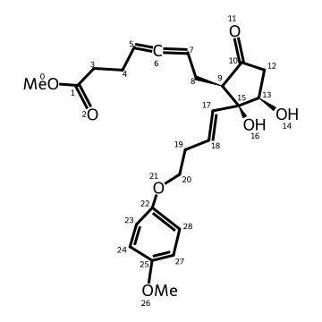 COC(=O)CCC=C=CC[C@H]1C(=O)C[C@@H](O)[C@]1(O)/C=C/CCOc1ccc(OC)cc1